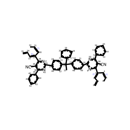 C=C/C=C(\C=C/C)c1nc(-c2ccc(C(C)(c3ccccc3)c3ccc(-c4nc(C(/C=C\C)=C/C=C)c(C#N)c(-c5ccccc5)n4)cc3)cc2)nc(-c2ccccc2)c1C#N